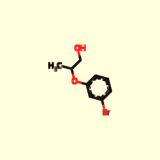 CC(CO)Oc1cccc(Br)c1